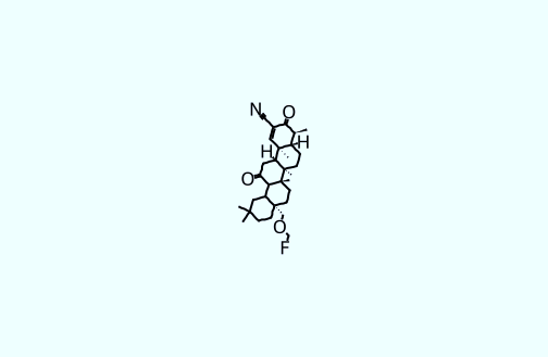 C[C@@H]1C(=O)C(C#N)=C[C@]2(C)[C@H]3CC(=O)C4C5CC(C)(C)CC[C@]5(COCF)CC[C@@]4(C)[C@]3(C)CC[C@@H]12